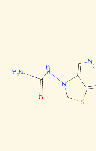 NC(=O)NN1CSc2ncncc21